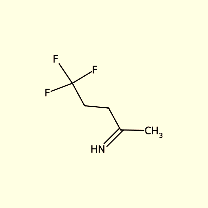 CC(=N)CCC(F)(F)F